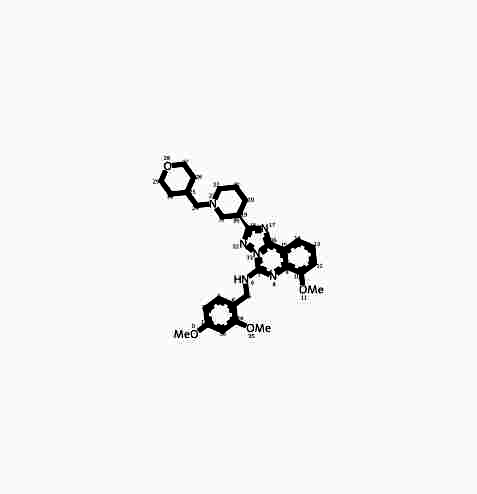 COc1ccc(CNc2nc3c(OC)cccc3c3nc([C@@H]4CCCN(CC5CCOCC5)C4)nn23)c(OC)c1